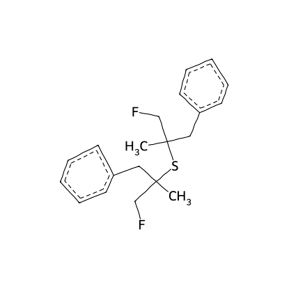 CC(CF)(Cc1ccccc1)SC(C)(CF)Cc1ccccc1